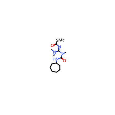 CSC(=O)N=C(N(C)C)N(C)C(=O)NC1CCCCCC1